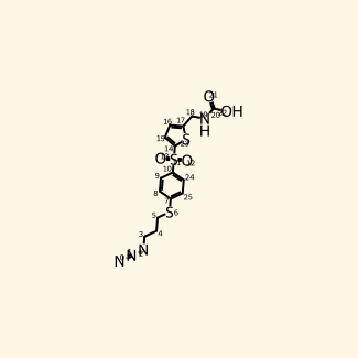 [N-]=[N+]=NCCCSc1ccc(S(=O)(=O)c2ccc(CNC(=O)O)s2)cc1